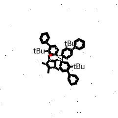 CC1=C(C)C(C)C([Si](c2ccc(-c3ccccc3)c(C(C)(C)C)c2)(c2ccc(-c3ccccc3)c(C(C)(C)C)c2)c2ccc(-c3ccccc3)c(C(C)(C)C)c2)=C1C